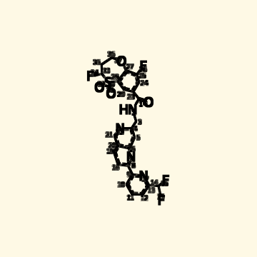 O=C(NCc1cc2nc(-c3cccc(C(F)F)n3)ccc2cn1)c1cc(F)c2c(c1)S(=O)(=O)[C@@H](F)CCO2